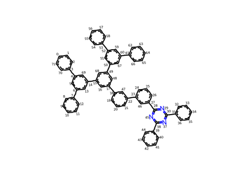 c1ccc(-c2cc(-c3ccccc3)cc(-c3cc(-c4cccc(-c5cccc(-c6nc(-c7ccccc7)nc(-c7ccccc7)n6)c5)c4)cc(-c4cc(-c5ccccc5)cc(-c5ccccc5)c4)c3)c2)cc1